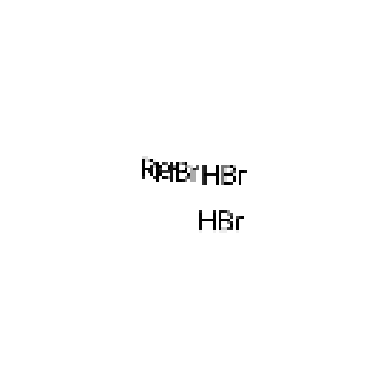 Br.Br.Br.[Re]